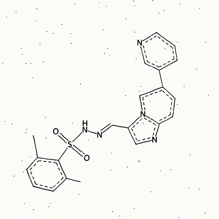 Cc1cccc(C)c1S(=O)(=O)NN=Cc1cnc2ccc(-c3cccnc3)cn12